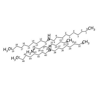 CCCCCCCCCCNCCCCCCCCCC.CCCCCCCCCN.CCCCCCCCNCCCCCCCC